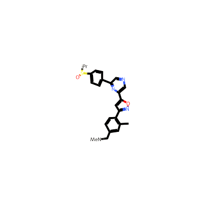 CNCc1ccc(-c2cc(-c3cncc(-c4ccc([S+]([O-])C(C)C)cc4)n3)on2)c(C)c1